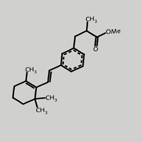 COC(=O)C(C)Cc1cccc(/C=C/C2=C(C)CCCC2(C)C)c1